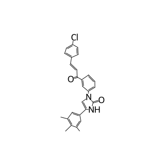 Cc1cc(-c2cn(-c3cccc(C(=O)/C=C/c4ccc(Cl)cc4)c3)c(=O)[nH]2)cc(C)c1C